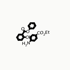 CCOC(=O)c1ccc(N)cc1.O=C(Oc1ccccc1)c1ccccc1O